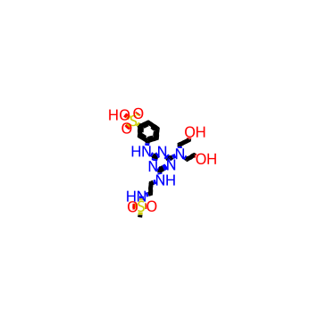 CS(=O)(=O)NCCNc1nc(Nc2cccc(S(=O)(=O)O)c2)nc(N(CCO)CCO)n1